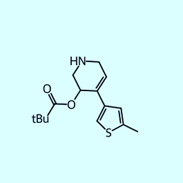 Cc1cc(C2=CCNCC2OC(=O)C(C)(C)C)cs1